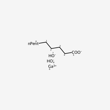 CCCCCCCCCC(=O)[O-].[Ga+3].[OH-].[OH-]